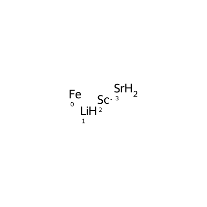 [Fe].[LiH].[Sc].[SrH2]